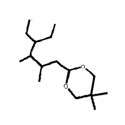 [CH2]CC(CC)C(C)C(C)CC1OCC(C)(C)CO1